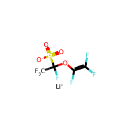 O=S(=O)([O-])C(F)(OC(F)=C(F)F)C(F)(F)F.[Li+]